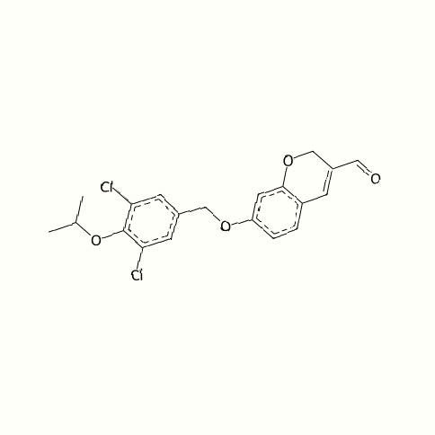 CC(C)Oc1c(Cl)cc(COc2ccc3c(c2)OCC(C=O)=C3)cc1Cl